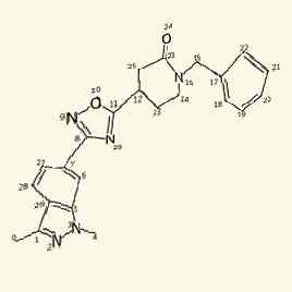 Cc1nn(C)c2cc(-c3noc(C4CCN(Cc5ccccc5)C(=O)C4)n3)ccc12